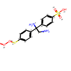 NCC(N)(c1ccc(SOOO)cc1)c1ccc(S(=O)(=O)O)cc1